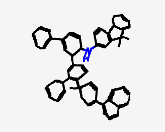 CC1(c2ccc(C3C=C(c4ccccc4)C=CC3Nc3ccc4c(c3)C(C)(C)C3=CC=CCC34)cc2-c2ccccc2)C=CC(c2cccc3ccccc23)=CC1